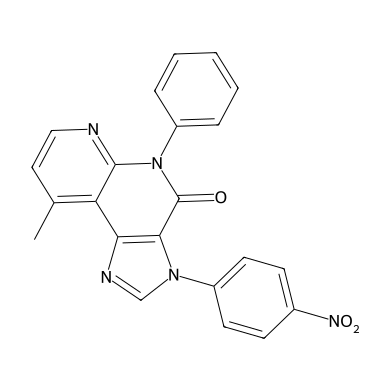 Cc1ccnc2c1c1ncn(-c3ccc([N+](=O)[O-])cc3)c1c(=O)n2-c1ccccc1